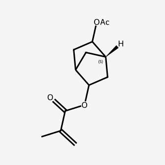 C=C(C)C(=O)OC1C[C@@H]2CC1CC2OC(C)=O